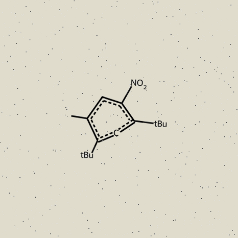 Cc1cc([N+](=O)[O-])c(C(C)(C)C)cc1C(C)(C)C